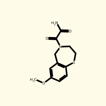 COc1ccc2c(c1)CN(C(=O)C(N)=O)CCS2